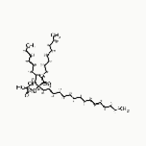 CCCCCCCCCCCCCCCCC(CCCCCCCC)(OP(=O)(O)O)C(=O)OCCCCCCCC